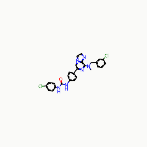 CN(Cc1cccc(Cl)c1)c1nc(-c2ccc(NC(=O)Nc3ccc(Cl)cc3)cc2)cn2ccnc12